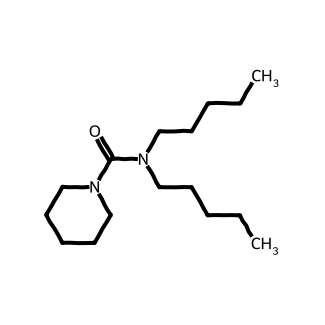 CCCCCN(CCCCC)C(=O)N1CCCCC1